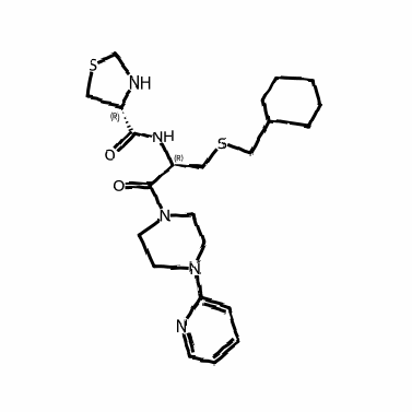 O=C(N[C@@H](CSCC1CCCCC1)C(=O)N1CCN(c2ccccn2)CC1)[C@@H]1CSCN1